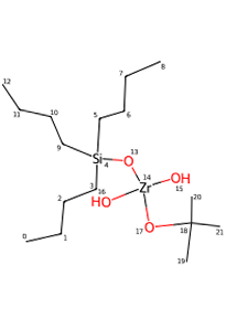 CCCC[Si](CCCC)(CCCC)[O][Zr]([OH])([OH])[O]C(C)(C)C